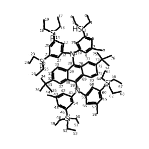 CC[SiH](CC)c1cc(C)cc(N(c2cc([SiH](CC)CC)cc([SiH](CC)CC)c2)c2c3ccc(C(C)(C)C)cc3c(N(c3cc(C)cc([Si](CC)(CC)CC)c3)c3cc(C)cc([Si](CC)(CC)CC)c3)c3ccc(C(C)(C)C)cc23)c1